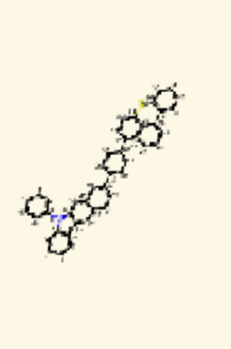 c1ccc(-n2c3ccccc3c3cc4ccc(-c5ccc(-c6ccc7c8c(cccc68)-c6ccccc6S7)cc5)cc4cc32)cc1